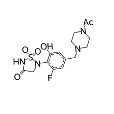 CC(=O)N1CCN(Cc2cc(O)c(N3CC(=O)NS3(=O)=O)c(F)c2)CC1